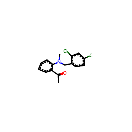 CC(=O)c1ccccc1N(C)Cc1ccc(Cl)cc1Cl